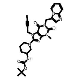 CC#CCn1c(N2CCCC(NC(=O)OC(C)(C)C)C2)nc2c1c(=O)n(Cc1cnc3ccccn13)c(=O)n2C